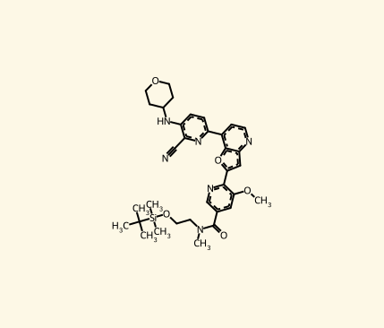 COc1cc(C(=O)N(C)CCO[Si](C)(C)C(C)(C)C)cnc1-c1cc2nccc(-c3ccc(NC4CCOCC4)c(C#N)n3)c2o1